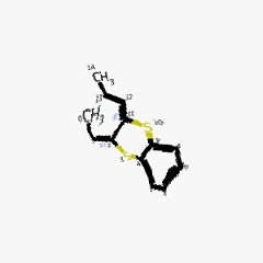 C/C=C1/Sc2ccccc2S/C1=C/CC